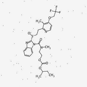 CCC(C)OC(=O)OCCN(C)C(=O)n1c([S+]([O-])CCc2nccc(OCC(F)(F)F)c2C)nc2ccccc21